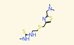 CNC(=S)NCCSCc1csc(CN(C)C)n1